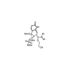 CNS(=O)(=O)C[C@@H](OC)[C@@H](OP(OCCC#N)N(C(C)C)C(C)C)[C@@H](OC)n1ccc(=O)[nH]c1=O